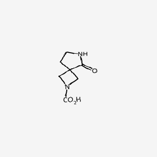 O=C(O)N1CC2(CCNC2=O)C1